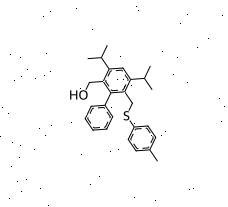 Cc1ccc(SCc2c(C(C)C)cc(C(C)C)c(CO)c2-c2ccccc2)cc1